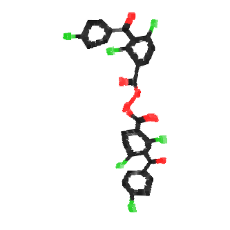 O=C(OOC(=O)c1ccc(Cl)c(C(=O)c2ccc(Cl)cc2)c1Cl)c1ccc(Cl)c(C(=O)c2ccc(Cl)cc2)c1Cl